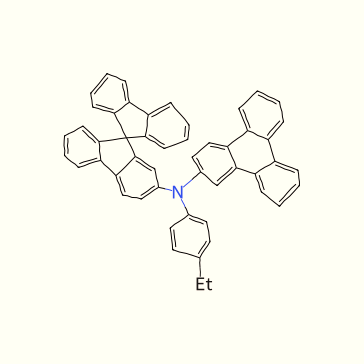 CCc1ccc(N(c2ccc3c(c2)C2(c4ccccc4-c4ccccc42)c2ccccc2-3)c2ccc3c4ccccc4c4ccccc4c3c2)cc1